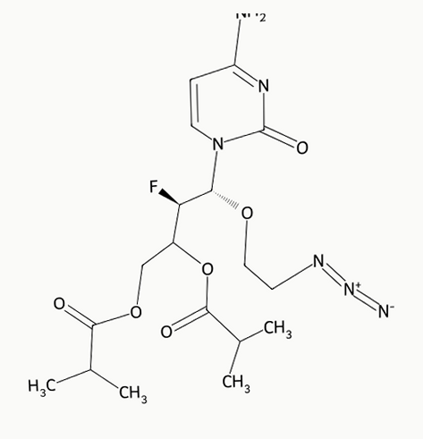 CC(C)C(=O)OCC(OC(=O)C(C)C)[C@@H](F)[C@@H](OCCN=[N+]=[N-])n1ccc(N)nc1=O